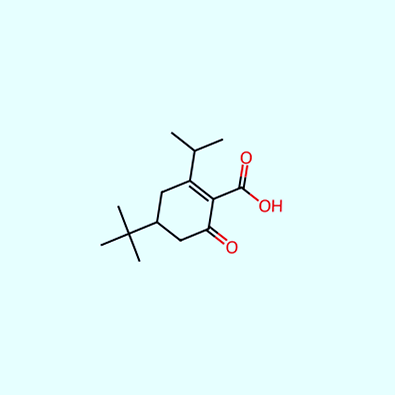 CC(C)C1=C(C(=O)O)C(=O)CC(C(C)(C)C)C1